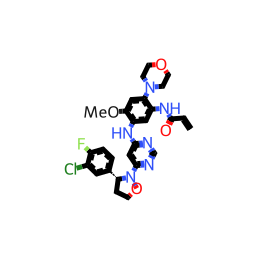 C=CC(=O)Nc1cc(Nc2cc(N3OCC[C@@H]3c3ccc(F)c(Cl)c3)ncn2)c(OC)cc1N1CCOCC1